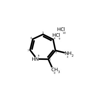 CC1=C(N)C=CC=CN1.Cl.Cl